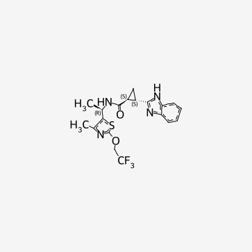 Cc1nc(OCC(F)(F)F)sc1[C@@H](C)NC(=O)[C@H]1C[C@@H]1c1nc2ccccc2[nH]1